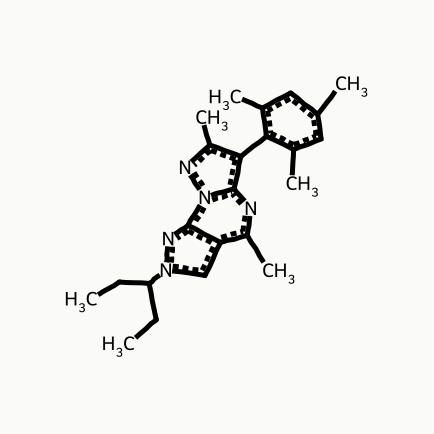 CCC(CC)n1cc2c(C)nc3c(-c4c(C)cc(C)cc4C)c(C)nn3c2n1